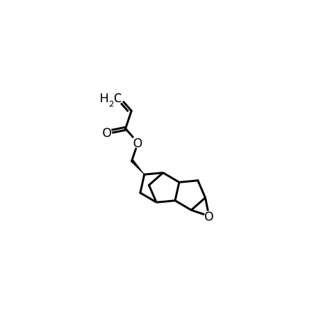 C=CC(=O)OC[C@@H]1CC2CC1C1CC3OC3C21